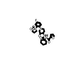 O=C(NC1(C(=O)NC2CCN(c3ccc(F)cc3N3CCCS3(=O)=O)CC2=O)CCCCC1)c1ccco1